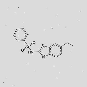 CCc1ccc2nc(NS(=O)(=O)c3ccccc3)sc2c1